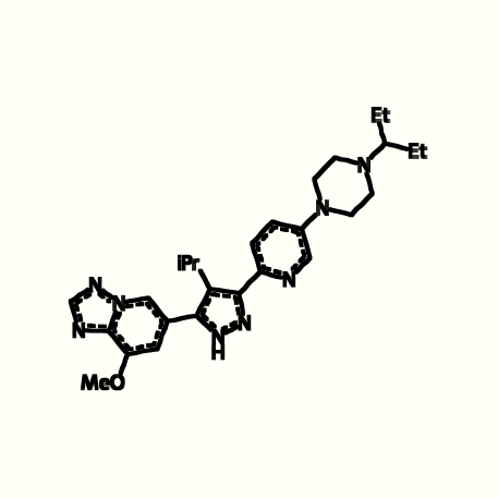 CCC(CC)N1CCN(c2ccc(-c3n[nH]c(-c4cc(OC)c5ncnn5c4)c3C(C)C)nc2)CC1